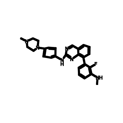 CNc1cccc(-c2cccc3cnc(Nc4ccc(N5CCN(C)CC5)cc4)nc23)c1F